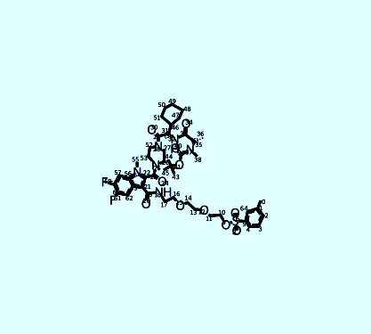 Cc1cccc(S(=O)(=O)OCCOCCOCCNC(=O)c2c(C(=O)N3CCN(C(=O)[C@@H](NC(=O)[C@H](C)N(C)C(=O)OC(C)(C)C)C4CCCCC4)CC3)n(C)c3cc(F)c(F)cc23)c1